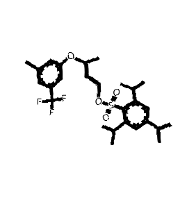 Cc1cc(OC(C)CCOS(=O)(=O)c2c(C(C)C)cc(C(C)C)cc2C(C)C)cc(C(F)(F)F)c1